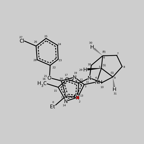 CCn1nc(N[C@@H]2[C@@H]3CC[C@H]2CN(c2nnc(C)o2)C3)nc1Oc1cccc(Cl)c1